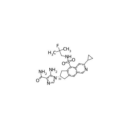 CC(C)(F)CNS(=O)(=O)c1c2c(cc3cnc(C4CC4)cc13)C[C@H](n1cnc(C(N)=O)c1N)C2